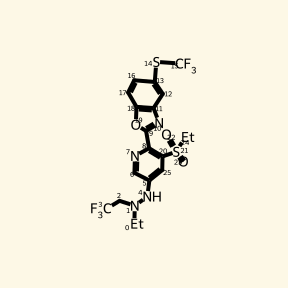 CCN(CC(F)(F)F)Nc1cnc(-c2nc3cc(SC(F)(F)F)ccc3o2)c(S(=O)(=O)CC)c1